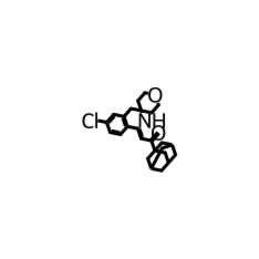 O=C(/C=C1\NC2(CCOCC2)Cc2cc(Cl)ccc21)C12CC3CC(CC(C3)C1)C2